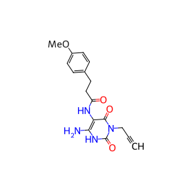 C#CCn1c(=O)[nH]c(N)c(NC(=O)CCc2ccc(OC)cc2)c1=O